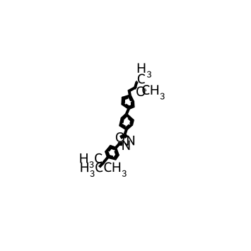 CCC(Cc1ccc(-c2ccc(-c3nnc(-c4ccc(C(C)(C)C)cc4)o3)cc2)cc1)OC